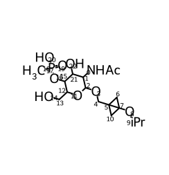 CC(=O)NC1C(OCC23CC2(OC(C)C)C3)OC(CO)C(OP(C)(=O)O)C1O